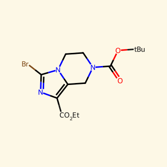 CCOC(=O)c1nc(Br)n2c1CN(C(=O)OC(C)(C)C)CC2